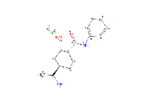 CC(N)[C@H]1CC[C@H](C(=O)Nc2ccncc2)CC1.Cl.Cl.O